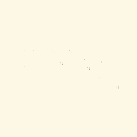 CCOC(=O)N1CCc2c(sc3nc(-c4ccccc4)cn23)C1